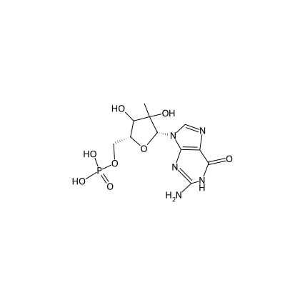 CC1(O)C(O)[C@@H](COP(=O)(O)O)O[C@H]1n1cnc2c(=O)[nH]c(N)nc21